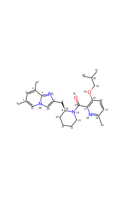 Cc1cc(C)c2nc(C[C@@H]3CCCCN3C(=O)c3nc(C)ccc3OCC(C)C)cn2c1